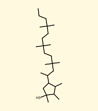 CCCC(C)(C)CCC(C)(C)CCC(C)(C)CC(C)C1CC(C)(S)C(C)C1C